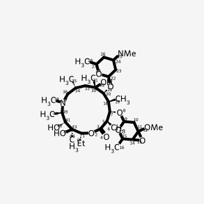 CC[C@H]1OC(=O)[C@H](C)[C@@H](OC2CC3(OC)OC3C(C)O2)[C@H](C)[C@@H](OC2CC(NC)CC(C)O2)[C@@](C)(O)C[C@@H](C)CN(C)[C@H](C)[C@@H](O)[C@]1(C)O